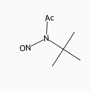 CC(=O)N(N=O)C(C)(C)C